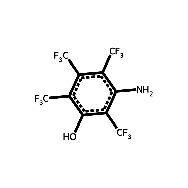 Nc1c(C(F)(F)F)c(O)c(C(F)(F)F)c(C(F)(F)F)c1C(F)(F)F